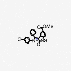 COC(=O)c1ccc2c(c1)/C(=C(/Nc1ccc(Cl)cc1)c1ccccc1)C(=O)N2